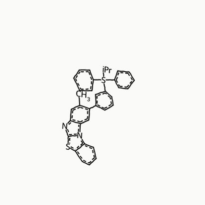 Cc1cc2nc3sc4ccccc4n3c2cc1-c1cccc(S(c2ccccc2)(c2ccccc2)C(C)C)c1